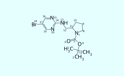 CC(C)(C)OC(=O)N1CCCC1CNc1ncc(Br)cn1